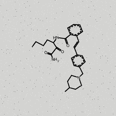 CCCCC(NC(=O)c1ccccc1/C=C/c1ccc(CN2CCC(C)CC2)cc1)C(=O)C(N)=O